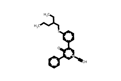 C#Cn1cc(-c2ccccc2)c(=O)c(-c2cccc(SCC(CC)CCC)c2)c1